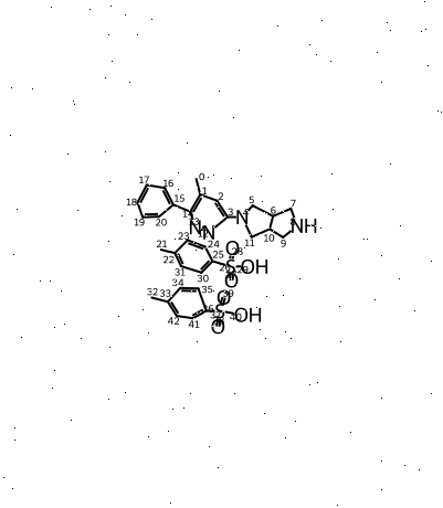 Cc1cc(N2CC3CNCC3C2)nnc1-c1ccccc1.Cc1ccc(S(=O)(=O)O)cc1.Cc1ccc(S(=O)(=O)O)cc1